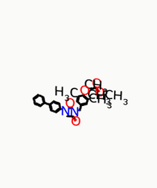 CCOC(=O)C(C)(C)Oc1c(C)cc(CN2C(=O)CN(c3ccc(-c4ccccc4)cc3)C2=O)cc1C